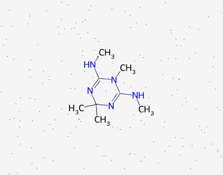 CNC1=NC(C)(C)N=C(NC)N1C